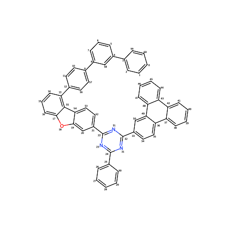 c1ccc(-c2cccc(-c3ccc(-c4cccc5oc6cc(-c7nc(-c8ccccc8)nc(-c8ccc9c%10ccccc%10c%10ccccc%10c9c8)n7)ccc6c45)cc3)c2)cc1